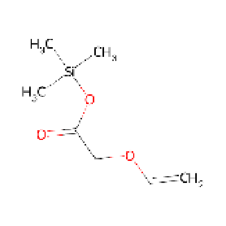 C=COCC(=O)O[Si](C)(C)C